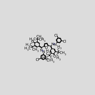 CC(C)(C)C1=CC(=C(/N=N/c2cc(Cl)cc(Cl)c2)c2ccc(C(/N=N/c3cc(Cl)cc(Cl)c3)=C3C=C(C(C)(C)C)C(=O)C(C(C)(C)C)=C3)o2)C=C(C(C)(C)C)C1=O